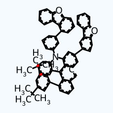 CC(C)(C)c1cc(-c2cccc3cccc(-c4ccccc4N(c4cccc(-c5ccc6oc7ccccc7c6c5)c4)c4cccc(-c5cccc6oc7ccccc7c56)c4)c23)cc(C(C)(C)C)c1